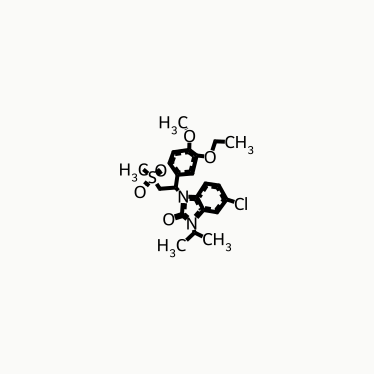 CCOc1cc(C(CS(C)(=O)=O)n2c(=O)n(C(C)C)c3cc(Cl)ccc32)ccc1OC